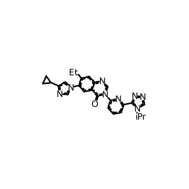 CCc1cc2ncn(-c3cccc(-c4nncn4C(C)C)n3)c(=O)c2cc1-n1cnc(C2CC2)c1